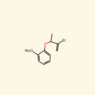 C=C(CC)C(C)Oc1ccccc1OC